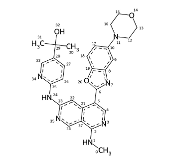 CNc1ncc(-c2nc3cc(N4CCOCC4)ccc3o2)c2cc(Nc3ccc(C(C)(C)O)cn3)ncc12